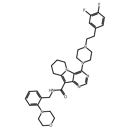 O=C(NCc1ccccc1N1CCOCC1)c1c2n(c3c(N4CCN(CCc5ccc(F)c(F)c5)CC4)ncnc13)CCCC2